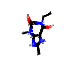 CCn1c(=O)c2[nH]c(C)nc2n(C)c1=O